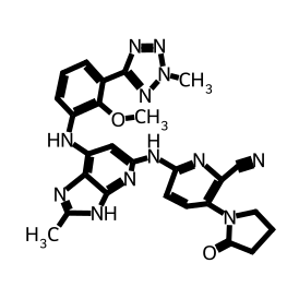 COc1c(Nc2cc(Nc3ccc(N4CCCC4=O)c(C#N)n3)nc3[nH]c(C)nc23)cccc1-c1nnn(C)n1